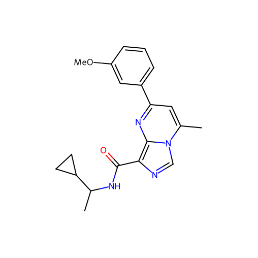 COc1cccc(-c2cc(C)n3cnc(C(=O)NC(C)C4CC4)c3n2)c1